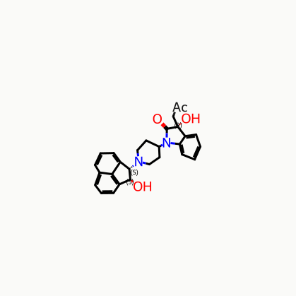 CC(=O)C[C@]1(O)C(=O)N(C2CCN([C@H]3c4cccc5cccc(c45)[C@@H]3O)CC2)c2ccccc21